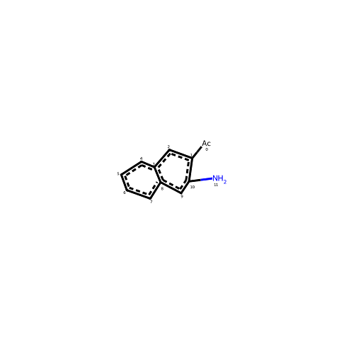 CC(=O)c1cc2ccccc2cc1N